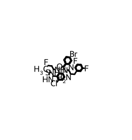 CSNC(=N)c1c(Cl)ccc(-n2c(C(N)Cc3cc(F)cc(F)c3)nc3cc(Br)ccc3c2=O)c1NCCCF